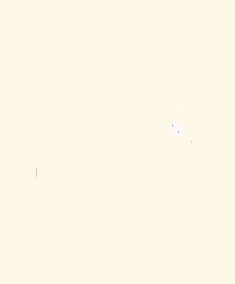 C[C](C)Oc1ccc([N+](=O)[O-])cc1